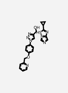 OC(c1cn(-c2ccc(OCc3ccccn3)cc2)nn1)[SH]1C(C2CC2)=Nc2cncn21